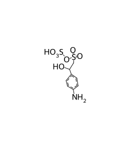 Nc1ccc(C(O)CS(=O)(=O)OS(=O)(=O)O)cc1